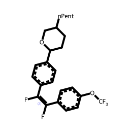 CCCCCC1CCC(c2ccc(/C(F)=C(/F)c3ccc(OC(F)(F)F)cc3)cc2)OC1